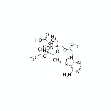 CC(C)OC(=O)[C@@H](C)OP(=O)(CO[C@H](C)Cn1cnc2c(N)ncnc21)NC(C)(C)C(=O)O